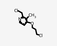 Cc1c(OCCCCl)ccnc1CCl